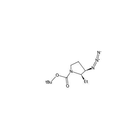 CC[C@@H]1[C@H](N=[N+]=[N-])CCN1C(=O)OC(C)(C)C